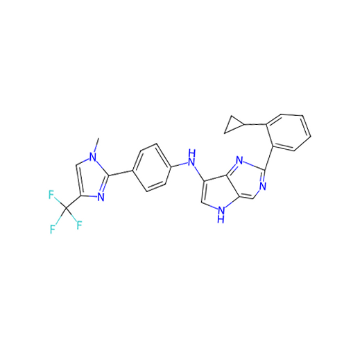 Cn1cc(C(F)(F)F)nc1-c1ccc(Nc2c[nH]c3cnc(-c4ccccc4C4CC4)nc23)cc1